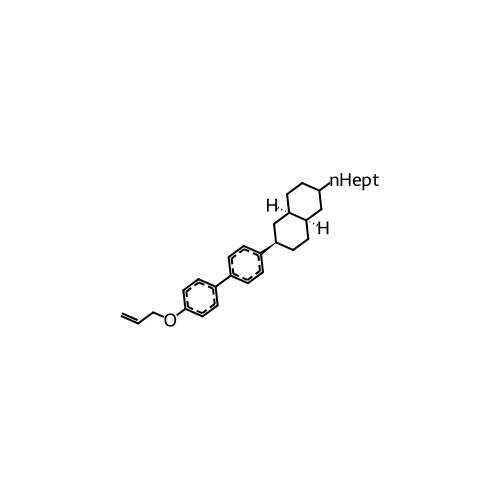 C=CCOc1ccc(-c2ccc([C@@H]3CC[C@@H]4CC(CCCCCCC)CC[C@@H]4C3)cc2)cc1